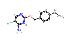 CBc1ccc(COc2ncc(F)c(N)n2)cc1